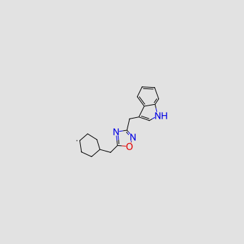 [CH]1CCC(Cc2nc(Cc3c[nH]c4ccccc34)no2)CC1